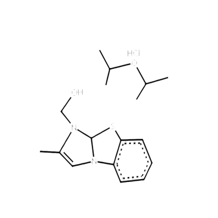 CC(C)OC(C)C.CC1=CN2c3ccccc3SC2N1CO.Cl